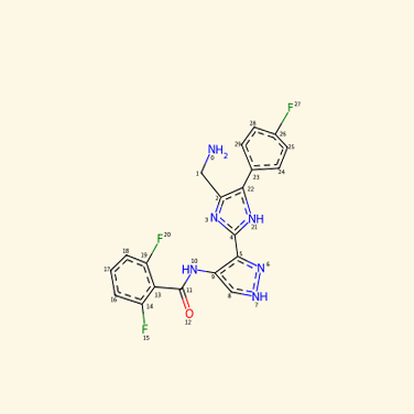 NCc1nc(-c2n[nH]cc2NC(=O)c2c(F)cccc2F)[nH]c1-c1ccc(F)cc1